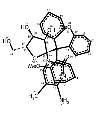 COc1ccccc1C(c1ccccc1)(c1ccccc1OC)[C@@]1(n2cc(C)c(N)nc2=O)O[C@H](CO)[C@@H](O)[C@H]1O